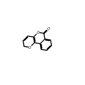 O=c1oc2c(c3ccccc13)OCC=C2